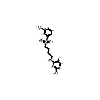 N=S(=O)(CCCCNc1nc(Cl)ncc1I)c1cccc(N)c1